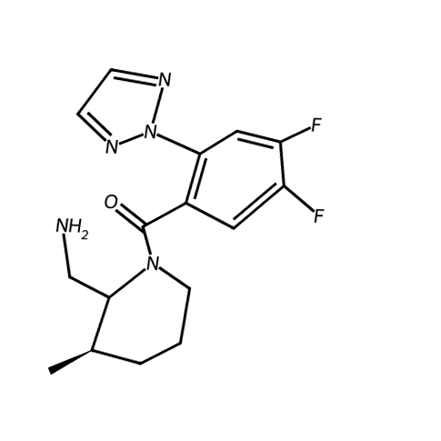 C[C@@H]1CCCN(C(=O)c2cc(F)c(F)cc2-n2nccn2)C1CN